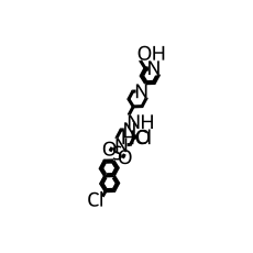 Cl.O=C1CN(S(=O)(=O)c2ccc3cc(Cl)ccc3c2)CCN1NCC1CCN(c2ccnc(CO)c2)CC1